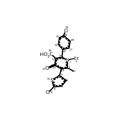 CCn1c(C)c(-c2ccc(Cl)s2)c(=O)c(C(=O)O)c1-c1ccc(Cl)cc1